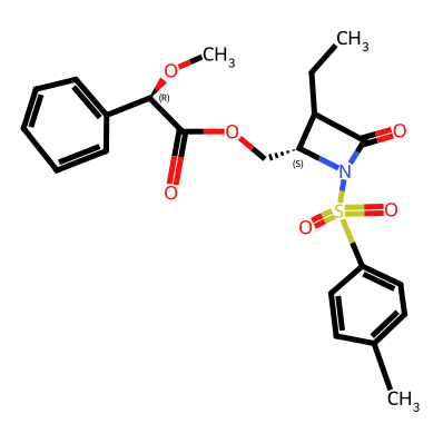 CCC1C(=O)N(S(=O)(=O)c2ccc(C)cc2)[C@@H]1COC(=O)[C@H](OC)c1ccccc1